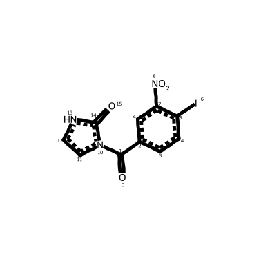 O=C(c1ccc(I)c([N+](=O)[O-])c1)n1cc[nH]c1=O